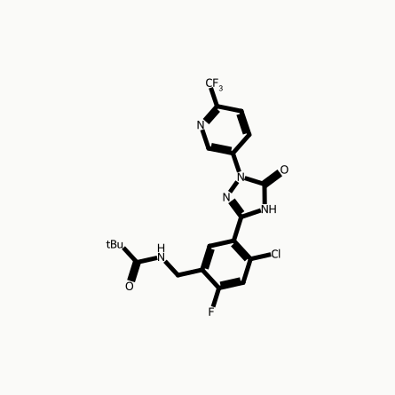 CC(C)(C)C(=O)NCc1cc(-c2nn(-c3ccc(C(F)(F)F)nc3)c(=O)[nH]2)c(Cl)cc1F